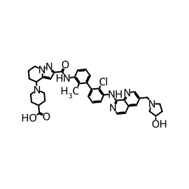 Cc1c(NC(=O)c2cc3n(n2)CCCC3N2CCC(C(=O)O)CC2)cccc1-c1cccc(Nc2nccc3cc(CN4CC[C@@H](O)C4)cnc23)c1Cl